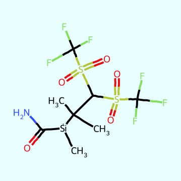 C[Si](C(N)=O)C(C)(C)C(S(=O)(=O)C(F)(F)F)S(=O)(=O)C(F)(F)F